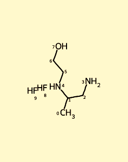 CC(CN)NCCO.F.F